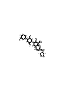 CCn1c(=O)c(-c2cc(C)c(-c3cncc(C)n3)cc2Cl)cc2cnc(N[C@@H]3CCOC3)nc21